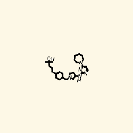 CC(C)(O)CCCC1=CCC(CN2CCC(Nc3nccc(N4CCCCCC4)n3)C2)CC1